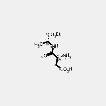 CCOC(=O)[C@@H](C)NC(=O)[C@H](N)CC(=O)O